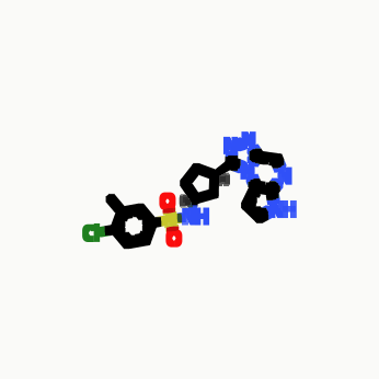 Cc1cc(S(=O)(=O)N[C@H]2CC[C@@H](c3nnc4cnc5[nH]ccc5n34)C2)ccc1Cl